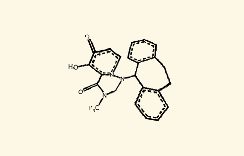 CN1CN(C2c3ccccc3CCc3ccccc32)n2ccc(=O)c(O)c2C1=O